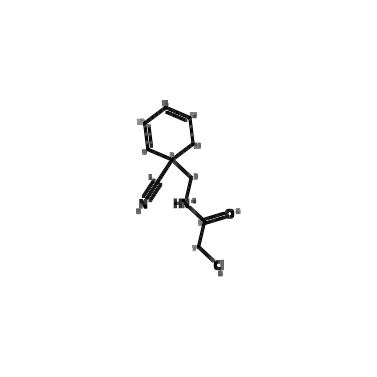 N#CC1(CNC(=O)CCl)C=CC=CC1